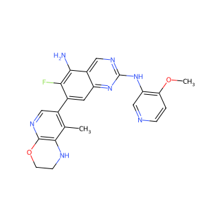 COc1ccncc1Nc1ncc2c(N)c(F)c(-c3cnc4c(c3C)NCCO4)cc2n1